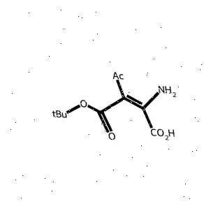 CC(=O)/C(C(=O)OC(C)(C)C)=C(\N)C(=O)O